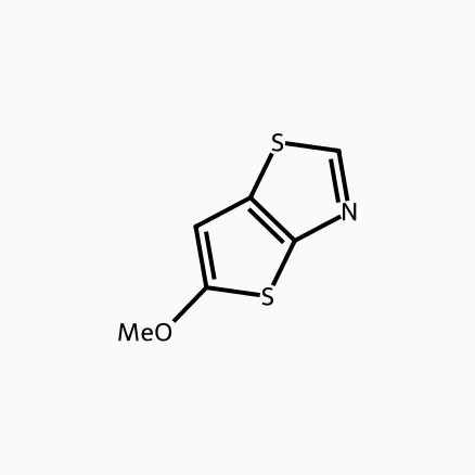 COc1cc2scnc2s1